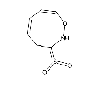 O=S(=O)=C1CC=CC=CON1